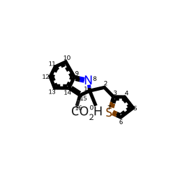 CC1(Cc2cccs2)N=c2ccccc2=C1C(=O)O